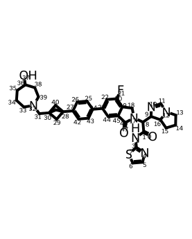 O=C(Nc1nccs1)C(C1N=CN2CCCC12)N1Cc2c(F)cc(-c3ccc(C45CC(CN6CCCC(O)CC6)(C4)C5)cc3)cc2C1=O